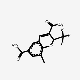 Cc1cc(C(=O)O)cc2c1OC(C(F)(F)F)C(C(=O)O)=C2